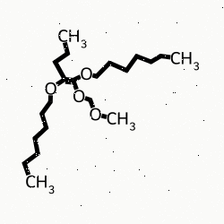 CCCCCCCOC(CCC)=C(OCCCCCCC)OCOC